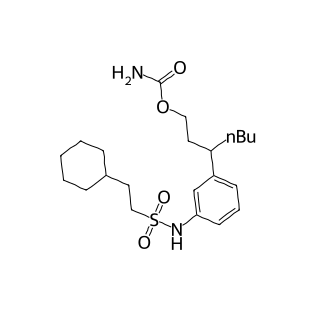 CCCCC(CCOC(N)=O)c1cccc(NS(=O)(=O)CCC2CCCCC2)c1